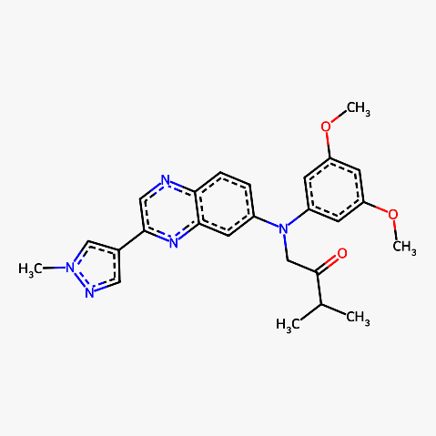 COc1cc(OC)cc(N(CC(=O)C(C)C)c2ccc3ncc(-c4cnn(C)c4)nc3c2)c1